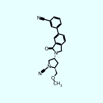 COC[C@@H]1C[C@@H](N2Cc3ccc(-c4cccc(C#N)c4)cc3C2=O)CN1C#N